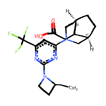 CC1CCN1c1nc(N2C[C@H]3CC[C@@H](C2)C3CC(=O)O)cc(C(F)(F)F)n1